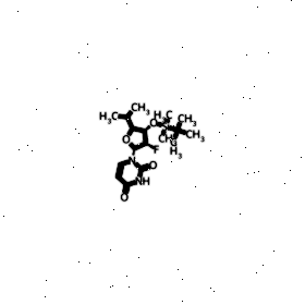 CC(C)C1O[C@@H](n2ccc(=O)[nH]c2=O)[C@H](F)[C@@H]1O[Si](C)(C)C(C)(C)C